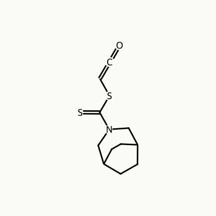 O=C=CSC(=S)N1CC2CCC(CC2)C1